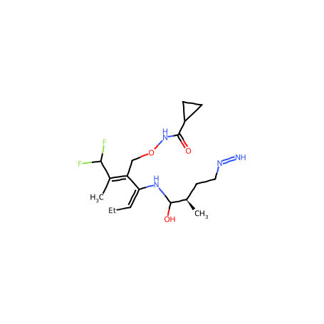 CC/C=C(NC(O)[C@H](C)CCN=N)\C(CONC(=O)C1CC1)=C(/C)C(F)F